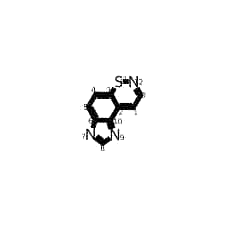 c1cc2c(ccc3ncnc32)sn1